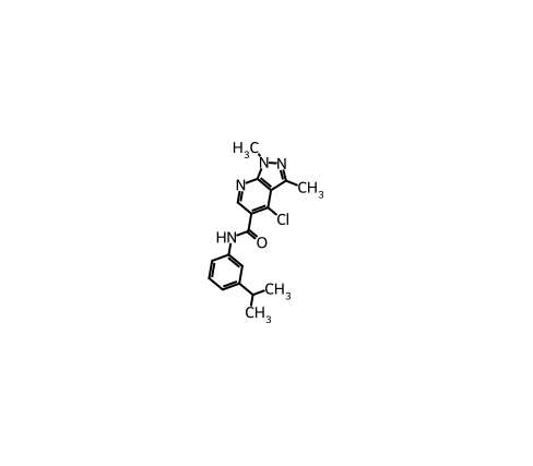 Cc1nn(C)c2ncc(C(=O)Nc3cccc(C(C)C)c3)c(Cl)c12